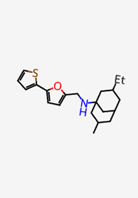 CCC1CC2CC(C)CC(NCc3ccc(-c4cccs4)o3)(C1)C2